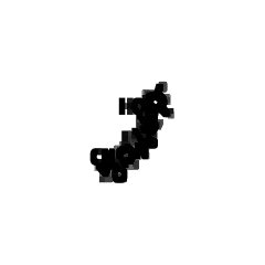 Cc1cc(C)c(-n2cc3sc(/N=C4/CN(C(=O)C5(C#N)CC5)C[C@@H]4F)nc3n2)c(O)c1